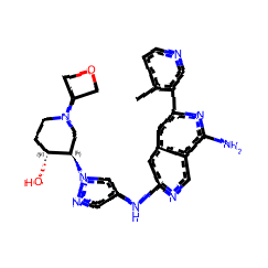 Cc1ccncc1-c1cc2cc(Nc3cnn([C@@H]4CN(C5COC5)CC[C@H]4O)c3)ncc2c(N)n1